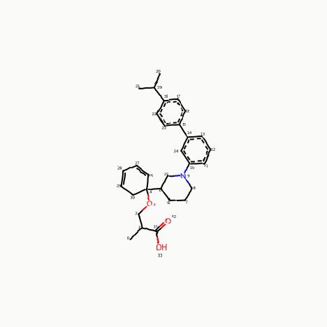 CC(COC1(C2CCCN(c3cccc(-c4ccc(C(C)C)cc4)c3)C2)C=CC=CC1)C(=O)O